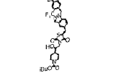 CC(C)COC(=O)N1CCC(C(O)CN2C(=O)SC(=Cc3ccc4c(cnn4Cc4ccc(Cl)cc4C(F)(F)F)c3)C2=O)CC1